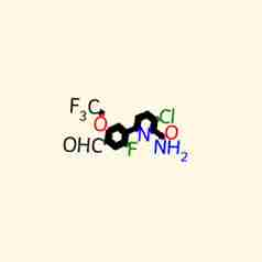 NC(=O)c1nc(-c2cc(OCC(F)(F)F)c(C=O)cc2F)ccc1Cl